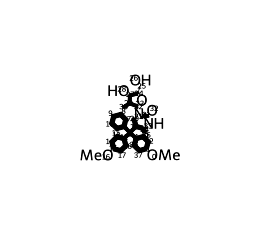 COc1ccc(C(c2ccccc2)(c2ccc(OC)cc2)c2cn([C@H]3O[C@@H](CO)C(O)C3C)c(=O)[nH]c2=S)cc1